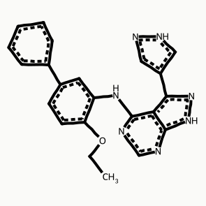 CCOc1ccc(-c2ccccc2)cc1Nc1ncnc2[nH]nc(-c3cn[nH]c3)c12